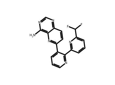 Nc1ncnc2ccc(-c3cccnc3-c3cccc(C(F)F)n3)nc12